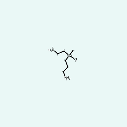 C[Si](Cl)(CCN)CCCN